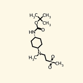 CN(CCS(C)(=O)=O)[C@H]1CC[C@H](NC(=O)OC(C)(C)C)CC1